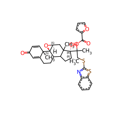 C[C@@H]1CC2C3CCC4=CC(=O)C=CC4(C)[C@@]34O[C@H]4CC2(C)[C@@]1(O)C(C)(CSc1nc2ccccc2s1)OC(=O)c1ccco1